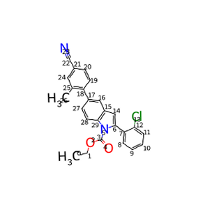 CCOC(=O)n1c(-c2ccccc2Cl)cc2cc(-c3ccc(C#N)cc3C)ccc21